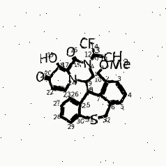 COCc1cccc2c1[C@H](C1CN([C@H](C)C(F)(F)F)C(=O)c3c(O)c(=O)ccn31)c1ccccc1SC2